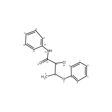 CC(Oc1ccccc1)C(Cl)C(=O)Nc1ccccc1